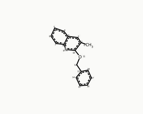 Cc1cc2ccccc2nc1OCc1ccccc1